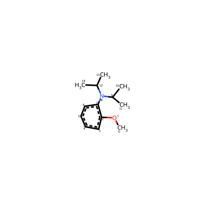 COc1c[c]ccc1N(C(C)C)C(C)C